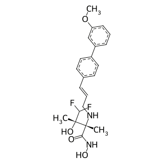 COc1cccc(-c2ccc(/C=C/CN[C@](C)(C(=O)NO)[C@](C)(O)C(F)F)cc2)c1